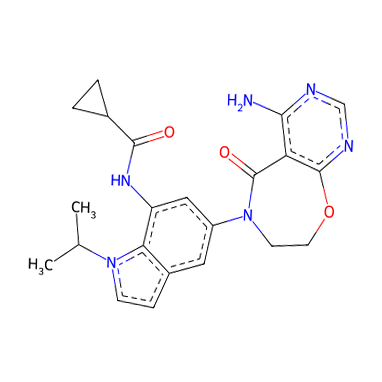 CC(C)n1ccc2cc(N3CCOc4ncnc(N)c4C3=O)cc(NC(=O)C3CC3)c21